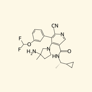 C[C@H](NC(=O)c1cnc(C#N)c(-c2cccc(OC(F)F)c2)c1N1CCC(C)(N)C1)C1CC1